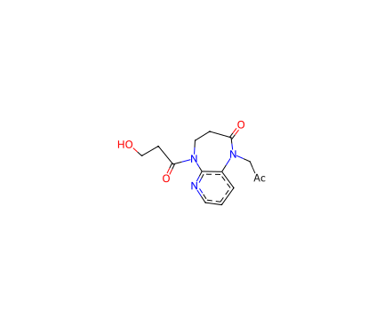 CC(=O)CN1C(=O)CCN(C(=O)CCO)c2ncccc21